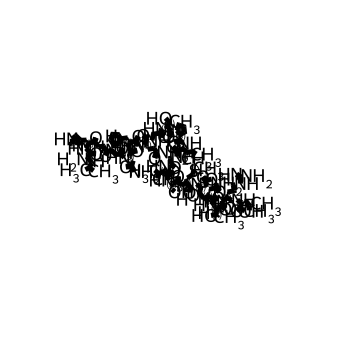 CC[C@H](C)[C@H](NC(=O)[C@@H]1CCCN1C(=O)[C@@H](NC(=O)CNC(=O)[C@H](CCC(N)=O)NC(=O)[C@H](Cc1ccccc1)NC(=O)[C@H](CC(N)=O)NC(=O)CNC(=O)CNC(=O)[C@H](Cc1c[nH]cn1)NC(=O)[C@@H](N)CC(C)C)[C@@H](C)O)C(=O)NCC(=O)N[C@H](C(=O)N[C@@H](CO)C(=O)N[C@@H](CCSC)C(=O)N[C@@H](CC(=O)O)C(=O)N[C@@H](CC(N)=O)C(=O)N[C@H](C(=O)N[C@@H](CCCNC(=N)N)C(=O)N[C@@H](CC(C)C)C(=O)O)[C@@H](C)O)C(C)C